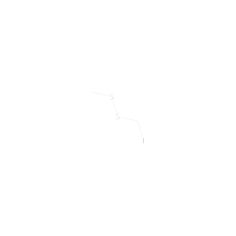 CSSCI